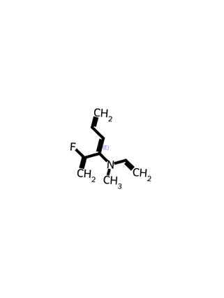 C=C/C=C(\C(=C)F)N(C)C=C